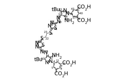 CC(C)(C)c1nn(-c2cc(C(=O)O)cc(C(=O)O)c2)c(N)c1/N=N/c1nnc(SCCSc2nnc(/N=N/c3c(C(C)(C)C)nn(-c4cc(C(=O)O)cc(C(=O)O)c4)c3N)s2)s1